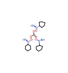 N=[N+](O[O][Al]([O]O[N+](=N)C1CCCCC1)[O]O[N+](=N)C1CCCCC1)C1CCCCC1